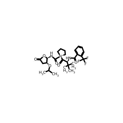 CC(C)O[C@H]1CC(=O)O[C@H]1NC(=O)[N+]1(C(=O)[C@@H](NC(=O)c2ccccc2C(F)(F)F)C(C)(C)C)CCCC1